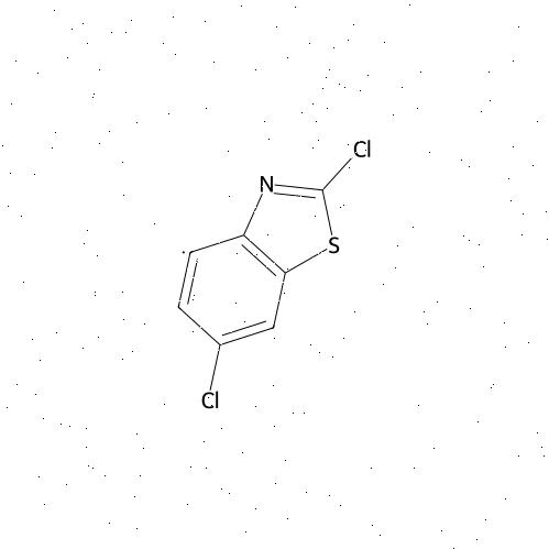 Clc1c[c]c2nc(Cl)sc2c1